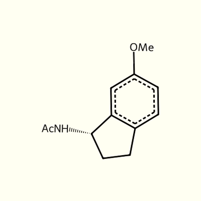 COc1ccc2c(c1)[C@@H](NC(C)=O)CC2